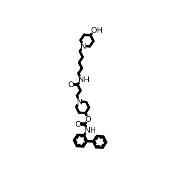 O=C(CCN1CCC(OC(=O)Nc2ccccc2-c2ccccc2)CC1)NCCCCCN1CCC(O)CC1